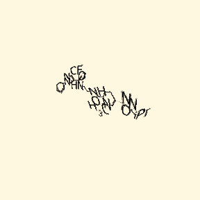 CC(C)c1nnc([C@H]2CC[C@H](C(=O)NCCNC(=O)c3cn(-c4ccccc4)nc3C(F)(F)F)N(C)C2)o1